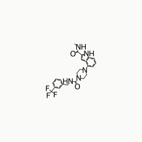 CNC(=O)c1cc2c(N3CCN(C(=O)NCc4cccc(C(F)(F)F)c4)CC3)cccc2[nH]1